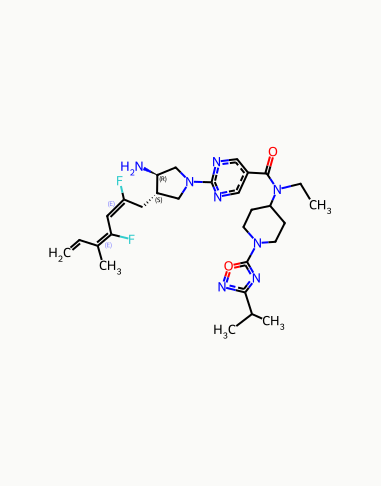 C=C/C(C)=C(F)\C=C(\F)C[C@H]1CN(c2ncc(C(=O)N(CC)C3CCN(c4nc(C(C)C)no4)CC3)cn2)C[C@@H]1N